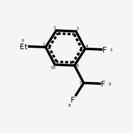 CCc1ccc(F)c(C(F)F)c1